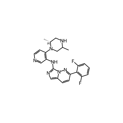 CC1CN(c2ccncc2Nc2ncc3ccc(-c4c(F)cccc4F)nn23)[C@H](C)CN1